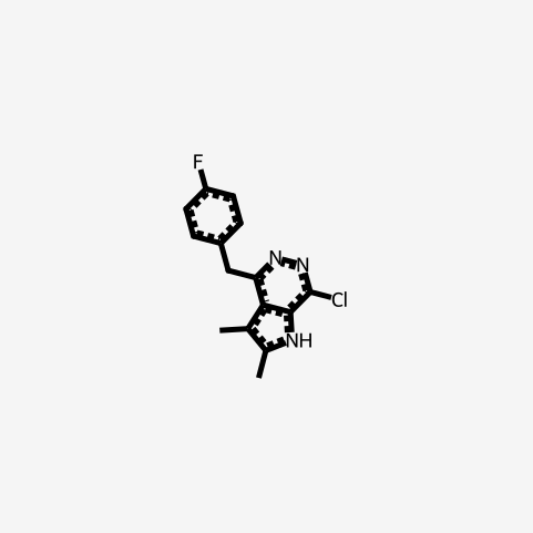 Cc1[nH]c2c(Cl)nnc(Cc3ccc(F)cc3)c2c1C